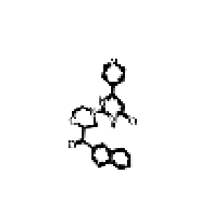 Cn1c(N2CCOC(C(=O)c3ccc4ccccc4c3)C2)nc(-c2ccncc2)cc1=O